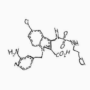 Nc1cc(Cn2c(C(=O)O)c(NS(=O)(=O)NCCCl)c3cc(Cl)ccc32)ccn1